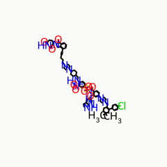 CC1(C)CCC(CN2CCN(c3ccc(C(=O)NS(=O)(=O)c4ccc(NCC5CCC(N6CCN(CCCC#Cc7cccc8c7CN(C7CCC(=O)NC7=O)C8=O)CC6)CC5)c([N+](=O)[O-])c4)c(Oc4cnc5[nH]ccc5c4)c3)CC2)=C(c2ccc(Cl)cc2)C1